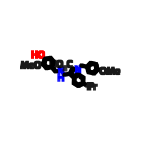 COc1ccc(Cn2c(C(=O)O)c(CNCc3ccc(O)c(OC)c3)c3ccc(C(C)C)cc32)cc1